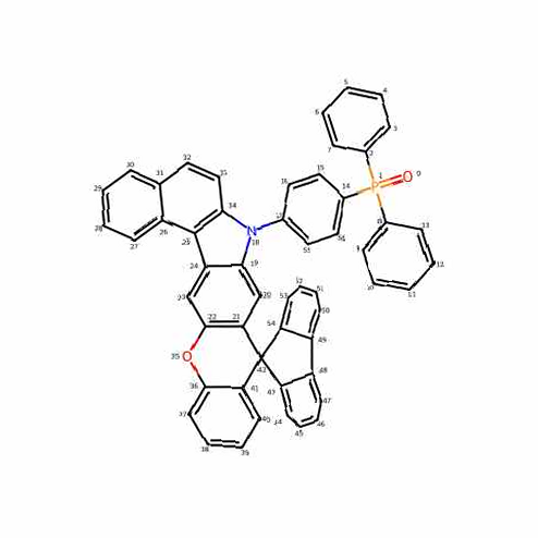 O=P(c1ccccc1)(c1ccccc1)c1ccc(-n2c3cc4c(cc3c3c5ccccc5ccc32)Oc2ccccc2C42c3ccccc3-c3ccccc32)cc1